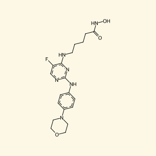 O=C(CCCCNc1nc(Nc2ccc(N3CCOCC3)cc2)ncc1F)NO